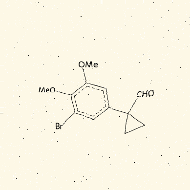 COc1cc(C2(C=O)CC2)cc(Br)c1OC